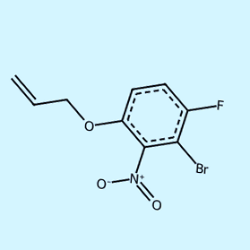 C=CCOc1ccc(F)c(Br)c1[N+](=O)[O-]